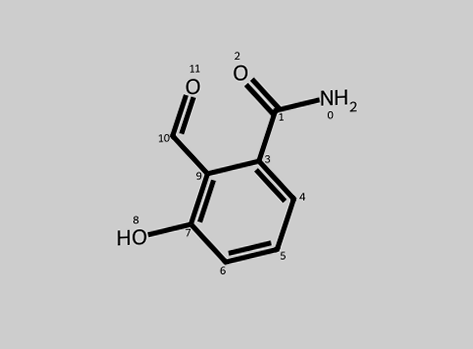 NC(=O)c1cccc(O)c1C=O